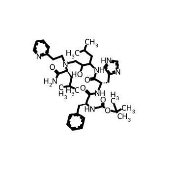 CC(C)CC(NC(=O)[C@H](Cc1c[nH]cn1)NC(=O)[C@H](Cc1ccccc1)NC(=O)OC(C)(C)C)C(O)CN(CCc1ccccn1)[C@@H](CC(C)C)C(N)=O